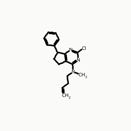 C=CCCN(C)c1nc(Cl)nc2c1CCC2c1ccccc1